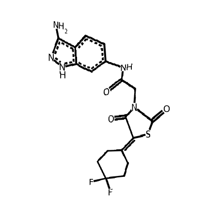 Nc1n[nH]c2cc(NC(=O)CN3C(=O)SC(=C4CCC(F)(F)CC4)C3=O)ccc12